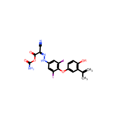 C=C(C)c1cc(Oc2c(I)cc(NN=C(C#N)C(=O)OC(N)=O)cc2I)ccc1O